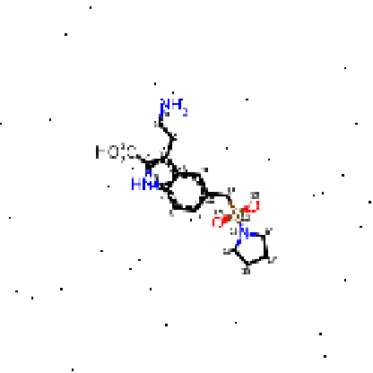 NCCc1c(C(=O)O)[nH]c2ccc(CS(=O)(=O)N3CCCC3)cc12